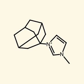 Cn1cc[n+](C23CC4CC(CC(C4)C2)C3)c1